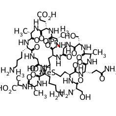 CSCC[C@H](NC(=O)[C@@H](N)CO)C(=O)N[C@@H](CCC(N)=O)C(=O)N[C@@H](C)C(=O)N[C@@H](CO)C(=O)N[C@@H](CC(C)C)C(=O)N[C@@H](CCC(=O)O)C(=O)N[C@@H](C)C(=O)N[C@@H](CCC(=O)O)C(=O)N[C@@H](C)C(=O)N[C@@H](CCCCN)C(=O)NCC(=O)N[C@@H](CCCCN)C(=O)N[C@@H](C)C(=O)N[C@@H](C)C(=O)O